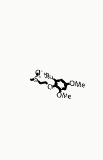 COc1cc(OC)c(OCC[S+](C)[O-])c(C(C)(C)C)c1